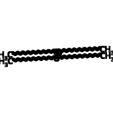 CCCCCCCCCCCCCCCCCCOC(=O)CCCCCCCCCCCCCCCCC.CCCCCCCCCCCCCCCCCCOCCCCCCCCCCCCCCCCCC